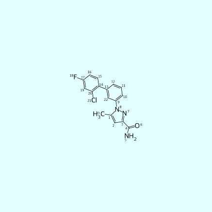 Cc1cc(C(N)=O)nn1-c1cccc(-c2ccc(F)cc2Cl)c1